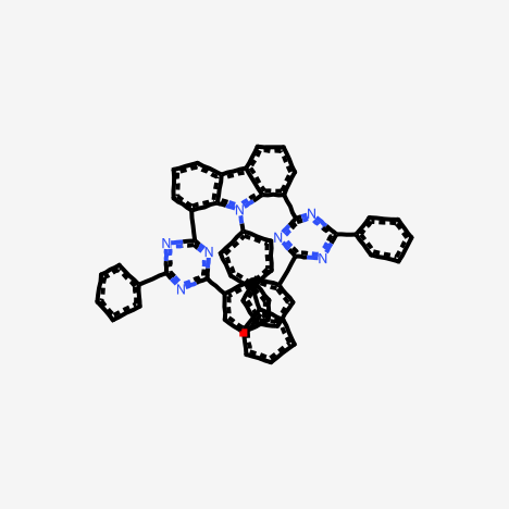 c1ccc(-c2ccc(-n3c4c(-c5nc(-c6ccccc6)nc(-c6ccccc6)n5)cccc4c4cccc(-c5nc(-c6ccccc6)nc(-c6ccccc6)n5)c43)cc2)cc1